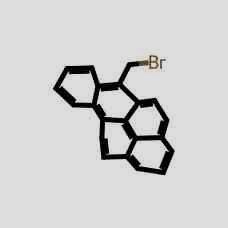 BrCc1c2ccccc2c2ccc3cccc4ccc1c2c43